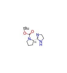 CC(C)(C)OC(=O)N1CCC[C@H]1C1=NCCN1